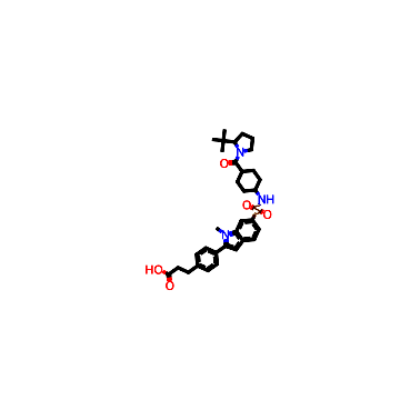 Cn1c(-c2ccc(CCC(=O)O)cc2)cc2ccc(S(=O)(=O)NC3CCC(C(=O)N4CCCC4C(C)(C)C)CC3)cc21